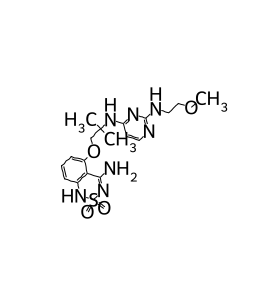 COCCNc1nccc(NC(C)(C)COc2cccc3c2C(N)=NS(=O)(=O)N3)n1